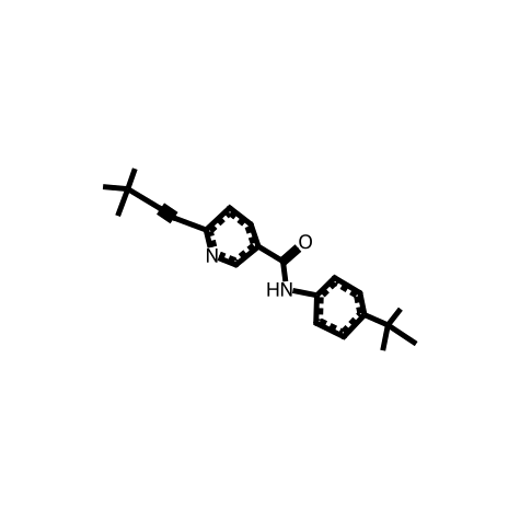 CC(C)(C)C#Cc1ccc(C(=O)Nc2ccc(C(C)(C)C)cc2)cn1